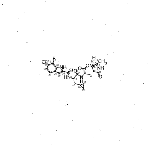 COC(=O)C(C[C@@H]1CC(C)(C)NC1=O)NC(=O)[C@H](CC1CC1)NC(=O)c1cc2ccc(Cl)c(F)c2[nH]1